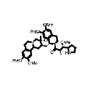 CC[C@@]1(C)CN2CCc3cc(OC)c(OC)cc3C2C[C@@H]1C[C@@H]1c2cc(OC)c(OC)cc2CCN1C(=O)[C@H](C)[C@@H](OC)C1CCCN1